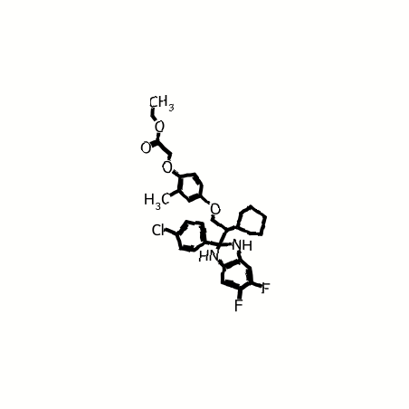 CCOC(=O)COc1ccc(OCC(C2CCCCC2)C2(c3ccc(Cl)cc3)Nc3cc(F)c(F)cc3N2)cc1C